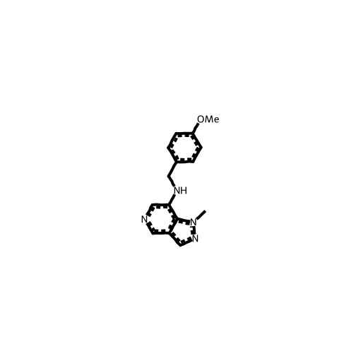 COc1ccc(CNc2cncc3cnn(C)c23)cc1